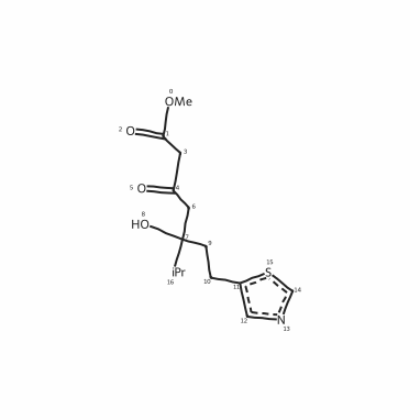 COC(=O)CC(=O)CC(O)(CCc1cncs1)C(C)C